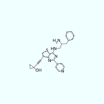 NC(CNc1nc(-c2ccncc2)nc2c(C#CC3(O)CC3)csc12)Cc1ccccc1